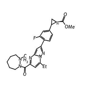 CCc1cc(C(=O)N2CCCCCN2C)nc2cc(-c3ccc(C4C[C@H]4C(=O)OC)cc3F)nn12